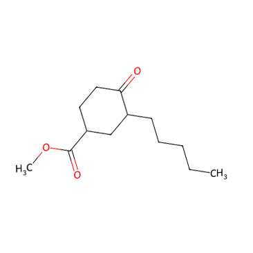 CCCCCC1CC(C(=O)OC)CCC1=O